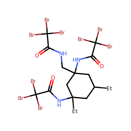 CCC1CC(CC)(NC(=O)C(Br)(Br)Br)CC(CNC(=O)C(Br)(Br)Br)(NC(=O)C(Br)(Br)Br)C1